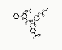 CCOC(=O)ON1CCN(C(=O)[C@H](Cc2ccc(C(=O)O)cc2)NC(=O)c2cc(NC(C)C)nc(-c3ccccc3)n2)CC1